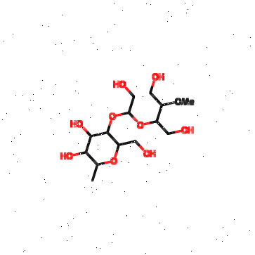 COC(CO)C(CO)OC(CO)OC1C(CO)OC(C)C(O)C1O